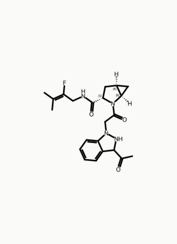 CC(=O)C1NN(CC(=O)N2[C@@H]3C[C@@H]3C[C@H]2C(=O)NCC(F)=C(C)C)c2ccccc21